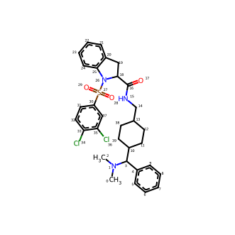 CN(C)C(c1ccccc1)C1CCC(CNC(=O)C2Cc3ccccc3N2S(=O)(=O)c2ccc(Cl)c(Cl)c2)CC1